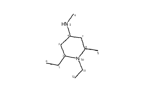 CCC1CC(NC)CC(C)N1CC